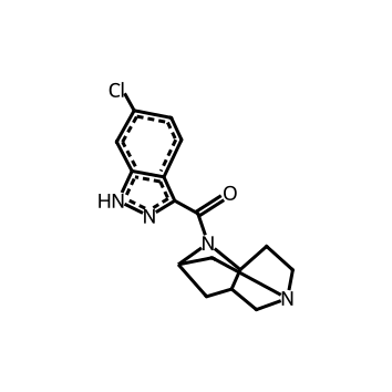 O=C(c1n[nH]c2cc(Cl)ccc12)N1C2CC3CN(CCC31)C2